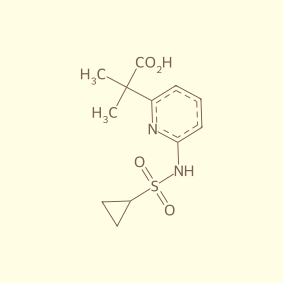 CC(C)(C(=O)O)c1cccc(NS(=O)(=O)C2CC2)n1